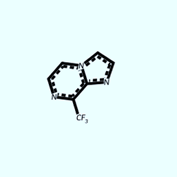 FC(F)(F)c1nccn2ccnc12